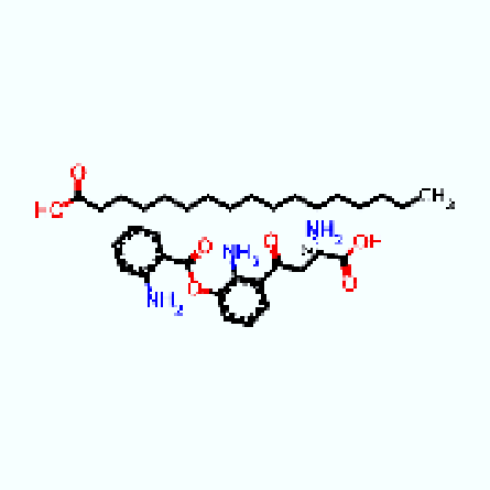 CCCCCCCCCCCCCCCCC(=O)O.Nc1ccccc1C(=O)Oc1cccc(C(=O)C[C@H](N)C(=O)O)c1N